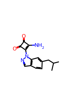 CC(C)Cc1ccc2cnn(-c3c(N)c(=O)c3=O)c2c1